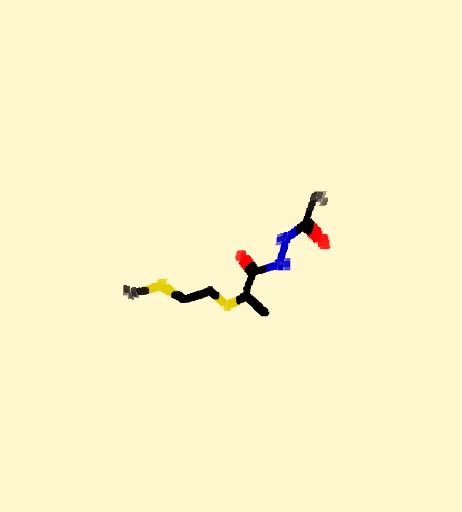 CC(SCCSC(F)(F)F)C(=O)NNC(=O)C(F)(F)F